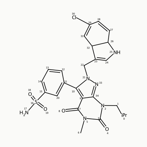 CC(C)Cn1c(=O)n(C)c(=O)c2c(-c3cccc(S(N)(=O)=O)c3)n(CC3=CNC4C=CC(Cl)=CC34)nc21